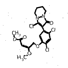 COC(=O)/C=C(\COc1cc(-c2c(Cl)n3n(c2=O)CCCC3)c(Cl)cc1Cl)OC